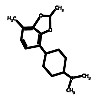 Cc1ccc(C2CCC(N(C)C)CC2)c2c1OC(C)O2